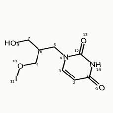 O=c1ccn(CC(CO)COI)c(=O)[nH]1